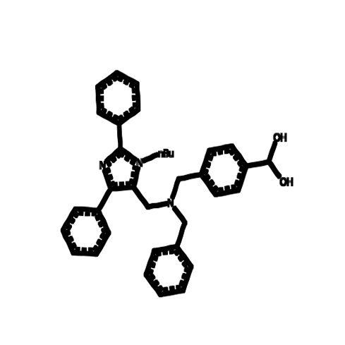 CCCCn1c(-c2ccccc2)nc(-c2ccccc2)c1CN(Cc1ccccc1)Cc1ccc(C(O)O)cc1